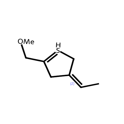 C/C=C1\C[SH]=C(COC)C1